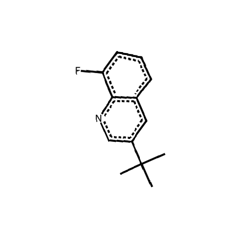 CC(C)(C)c1cnc2c(F)cccc2c1